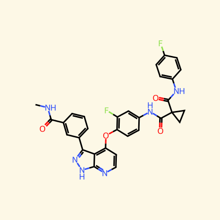 CNC(=O)c1cccc(-c2n[nH]c3nccc(Oc4ccc(NC(=O)C5(C(=O)Nc6ccc(F)cc6)CC5)cc4F)c23)c1